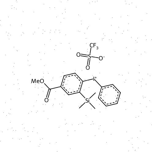 COC(=O)c1ccc([I+]c2ccccc2)c([Si](C)(C)C)c1.O=S(=O)([O-])C(F)(F)F